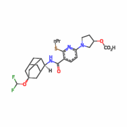 CCCSc1nc(N2CCC(OC(=O)O)C2)ccc1C(=O)N[C@H]1C2CC3CC1C[C@@](OC(F)F)(C3)C2